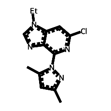 CCn1cnc2c(-n3nc(C)cc3C)nc(Cl)cc21